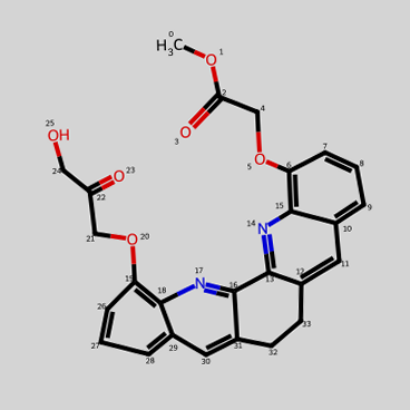 COC(=O)COc1cccc2cc3c(nc12)-c1nc2c(OCC(=O)CO)cccc2cc1CC3